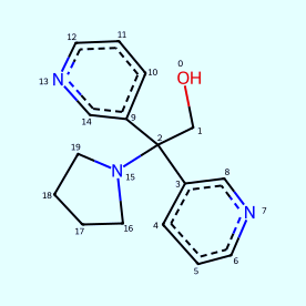 OCC(c1cccnc1)(c1cccnc1)N1CCCC1